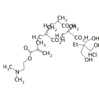 C=C(C)C(=O)O.C=C(C)C(=O)O.C=C(C)C(=O)O.C=C(C)C(=O)OCCN(C)C.CCC(CO)(CO)CO.Cl